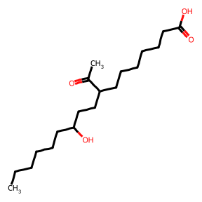 CCCCCCC(O)CCC(CCCCCCC(=O)O)C(C)=O